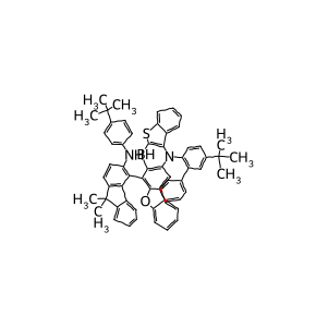 CC(C)(C)c1ccc(Nc2ccc3c(c2-c2c4c(cc5c2oc2ccccc25)N(c2ccc(C(C)(C)C)cc2-c2ccccc2)c2c(sc5ccccc25)B4)-c2ccccc2C3(C)C)cc1